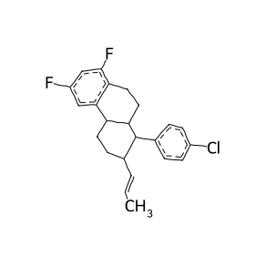 CC=CC1CCC2c3cc(F)cc(F)c3CCC2C1c1ccc(Cl)cc1